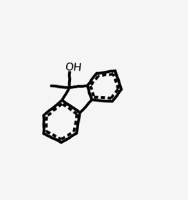 CC1(O)c2ccccc2-c2ccccc21